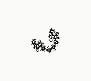 CN1C(=O)C2=C(c3ccc(-c4ccc(-c5ccc(-c6ccc(C7=C8C(=O)N(C)C(c9cccs9)=C8C(=O)N7C)s6)s5)s4)s3)N(C)C(=O)C2=C1c1cccs1